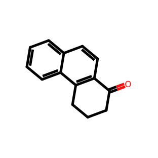 O=C1CCCc2c1ccc1ccccc21